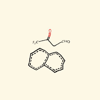 O=CCC(=O)C(F)(F)F.c1ccc2ccccc2c1